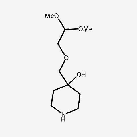 COC(COCC1(O)CCNCC1)OC